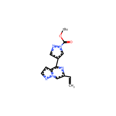 C=Cc1cn2nccc2c(-c2cnn(C(=O)OC(C)(C)C)c2)n1